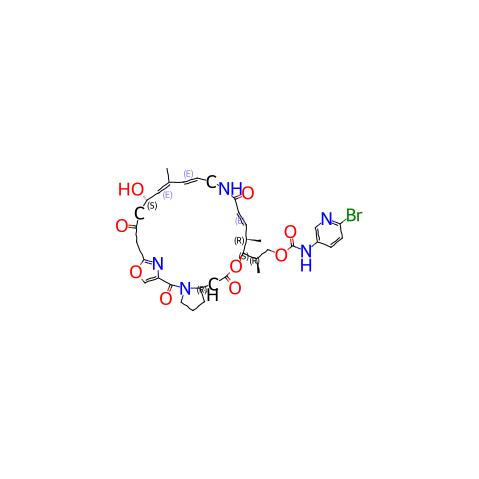 CC1=C\[C@@H](O)CC(=O)Cc2nc(co2)C(=O)N2CCC[C@@H]2CC(=O)O[C@H]([C@H](C)COC(=O)Nc2ccc(Br)nc2)[C@H](C)/C=C/C(=O)NC\C=C\1